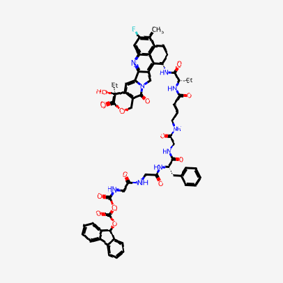 CC[C@H](NC(=O)CCCNC(=O)CNC(=O)[C@H](Cc1ccccc1)NC(=O)CNC(=O)CNC(=O)OC(=O)OC1c2ccccc2-c2ccccc21)C(=O)N[C@H]1CCc2c(C)c(F)cc3nc4c(c1c23)Cn1c-4cc2c(c1=O)COC(=O)[C@]2(O)CC